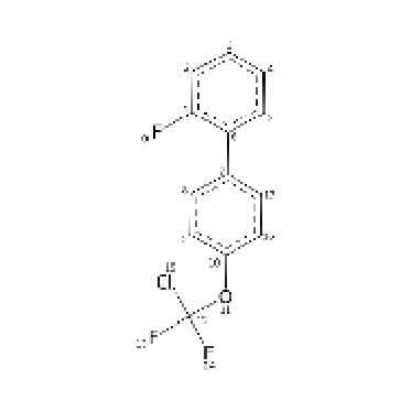 Fc1ccccc1-c1ccc(OC(F)(F)Cl)cc1